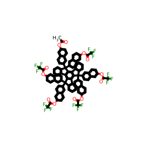 CC(=O)Oc1ccc2cc(C3(c4ccc5cc(OC(=O)C(F)(F)F)ccc5c4)c4ccccc4-c4c3c3c(c5c4C(c4ccc6cc(OC(=O)C(F)(F)F)ccc6c4)(c4ccc6cc(OC(=O)C(F)(F)F)ccc6c4)c4ccccc4-5)C(c4ccc5cc(OC(=O)C(F)(F)F)ccc5c4)(c4ccc5cc(OC(=O)C(F)(F)F)ccc5c4)c4ccccc4-3)ccc2c1